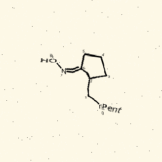 CCCCCCC1CCC/C1=N\O